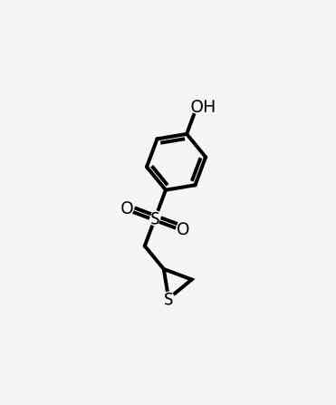 O=S(=O)(CC1CS1)c1ccc(O)cc1